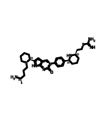 C[C@H](N)CCCN1CCCC[C@@H]1c1cc2cn(-c3ccc([C@@H]4CCC[C@@H](CCSC(=N)N)N4)cc3)c(=O)nc2[nH]1